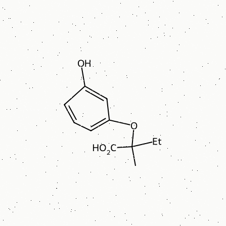 CCC(C)(Oc1cccc(O)c1)C(=O)O